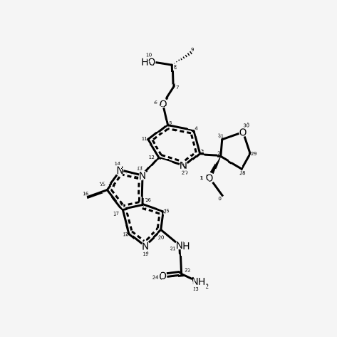 CO[C@]1(c2cc(OC[C@@H](C)O)cc(-n3nc(C)c4cnc(NC(N)=O)cc43)n2)CCOC1